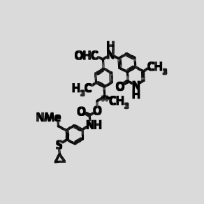 CNCc1cc(NC(=O)OC[C@H](C)c2ccc(C(C=O)Nc3ccc4c(C)c[nH]c(=O)c4c3)cc2C)ccc1SC1CC1